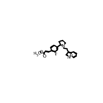 COC(=O)/C=C/c1ccc(C2CCCN2CCc2cnn3ccccc23)cc1F